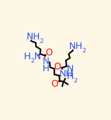 CC(C)(C)C(=O)C(CCCCNC(=O)C(N)CCCCN)NC(=O)C(N)CCCCN